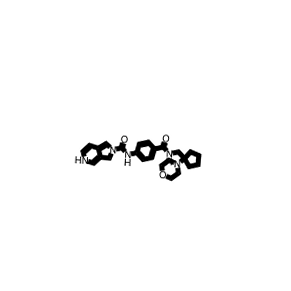 O=C(NCC1(N2CCOCC2)CCCC1)c1ccc(NC(=O)N2C=C3C=CNC=C3C2)cc1